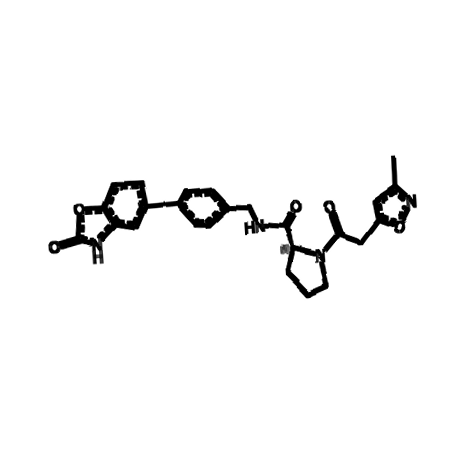 Cc1cc(CC(=O)N2CCC[C@H]2C(=O)NCc2ccc(-c3ccc4oc(=O)[nH]c4c3)cc2)on1